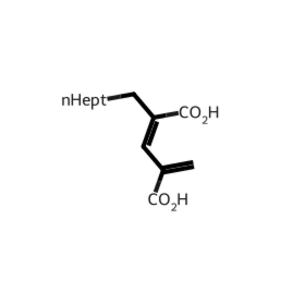 C=C(C=C(CCCCCCCC)C(=O)O)C(=O)O